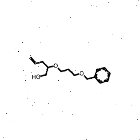 C=CCC(CO)OCCCOCc1ccccc1